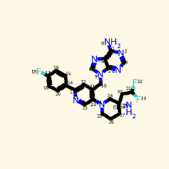 Nc1ncnc2c1ncn2Cc1cc(-c2ccc(F)cc2)ncc1N1CCC[C@](N)(CC(F)F)C1